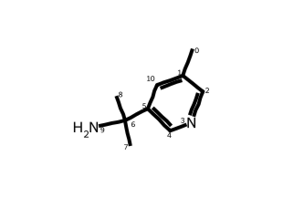 Cc1cncc(C(C)(C)N)c1